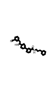 N#Cc1cccc(CC([NH])c2ccc(-c3cccc(C(=O)NCCCc4ccccc4)c3)cc2)c1